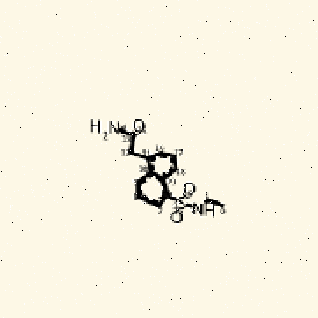 CCNS(=O)(=O)c1cccc2c(CC(N)=O)cccc12